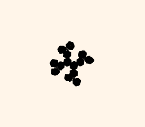 c1ccc(-n2c3ccccc3c3cc(-c4cc(-c5cc(-c6ccc7c(c6)c6ccccc6n7-c6ccccc6)cc(-c6ccc7c(c6)c6ccccc6n7-c6ccccc6)c5)cc(-c5ccc6c(c5)c5ccccc5n6-c5ccccc5)c4)ccc32)cc1